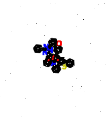 c1ccc(-c2nc(-c3ccccc3)nc(-c3cccc4oc5ccc(-c6ccc7c(c6)c6ccccc6n7-c6ccccc6-c6cccc7c6sc6ccccc67)cc5c34)n2)cc1